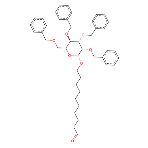 O=CCCCCCCCCCO[C@@H]1O[C@H](COCc2ccccc2)[C@@H](OCc2ccccc2)[C@H](OCc2ccccc2)[C@@H]1OCc1ccccc1